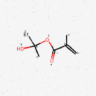 C=C(C)C(=O)OC(C)(O)CC